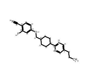 CCCc1cnc(C2CCC(COc3ccc(C#N)c(F)c3)CC2)nc1